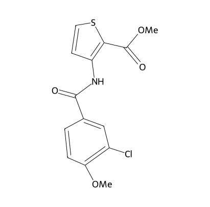 COC(=O)c1sccc1NC(=O)c1ccc(OC)c(Cl)c1